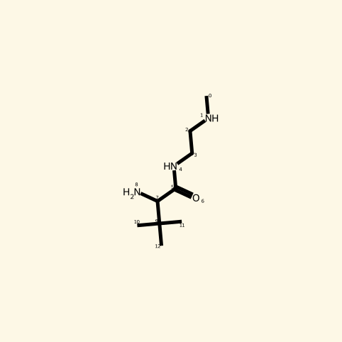 CNCCNC(=O)C(N)C(C)(C)C